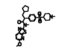 COc1ccc2nc(N(C)C(=O)C(CC3CCCC3)c3ccc(S(=O)(=O)C4CCN(C)CC4)cc3)sc2n1